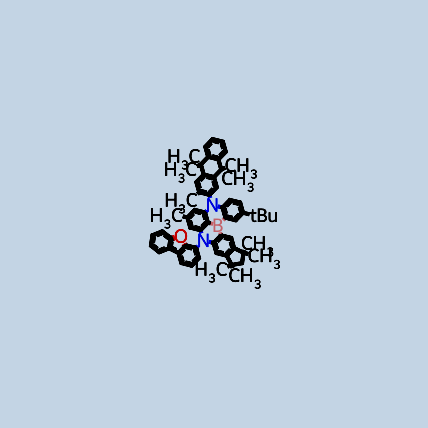 Cc1cc2c3c(c1)N(c1cccc4c1oc1ccccc14)c1cc4c(cc1B3c1cc(C(C)(C)C)ccc1N2c1cc2c(cc1C)C(C)(C)c1ccccc1C2(C)C)C(C)(C)CC4(C)C